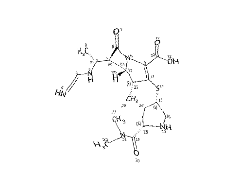 C[C@@H](NC=N)[C@H]1C(=O)N2C(C(=O)O)=C(S[C@@H]3CN[C@H](C(=O)N(C)C)C3)[C@H](C)[C@H]12